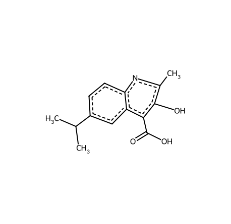 Cc1nc2ccc(C(C)C)cc2c(C(=O)O)c1O